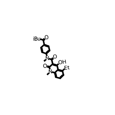 CCc1cccc2c1c(O)c(C(=O)N(C)c1ccc(C(=O)C(C)CC)cc1)c(=O)n2C